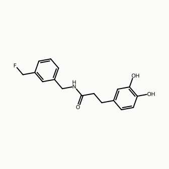 O=C(CCc1ccc(O)c(O)c1)NCc1cccc(CF)c1